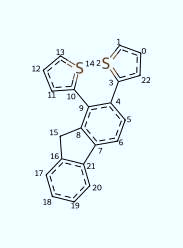 c1csc(-c2ccc3c(c2-c2cccs2)Cc2ccccc2-3)c1